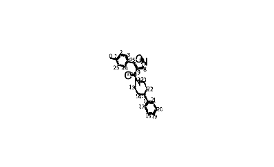 Cc1ccc(-c2oncc2C(=O)N2CCC(c3ccccc3)CC2)cc1